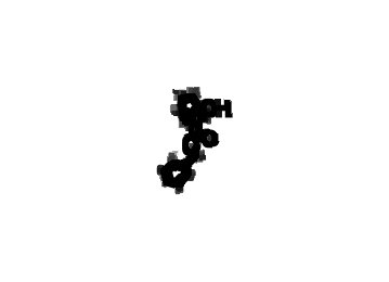 O=C(OCc1ccccc1)N1CC2CCC(O)(C2)C1